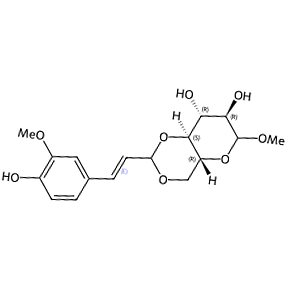 COc1cc(/C=C/C2OC[C@H]3OC(OC)[C@H](O)[C@@H](O)[C@@H]3O2)ccc1O